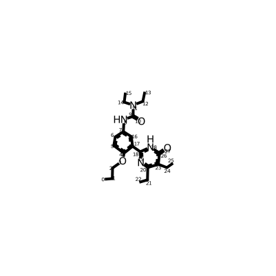 CCCOc1ccc(NC(=O)N(CC)CC)cc1-c1nc(CC)c(CC)c(=O)[nH]1